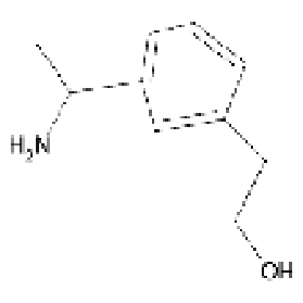 CC(N)c1cccc(CCO)c1